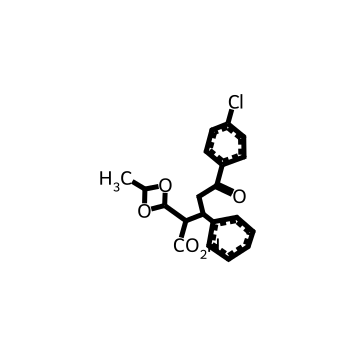 CC1OC(C(C(=O)O)C(CC(=O)c2ccc(Cl)cc2)c2ccccc2)O1